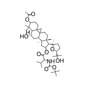 CC(=O)O[C@H]1CCC23CC24CC[C@]2(C)[C@@H]([C@@]5(C)CC[C@@H](C(C)(C)O)O5)[C@@H](OC(=O)C(NC(=O)OC(C)(C)C)C(C)C)C[C@@]2(C)C4C[C@H](O)[C@H]3C1(C)C